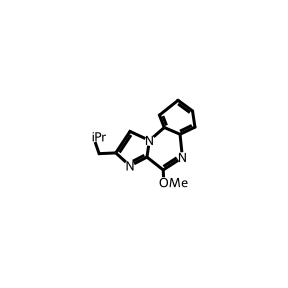 COc1nc2ccccc2n2cc(CC(C)C)nc12